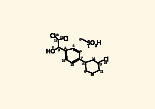 CS(=O)(=O)O.OC(c1ccc(C2CCCC(Cl)C2)cc1)C(Cl)Cl